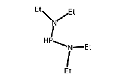 CCN(CC)PN(CC)CC